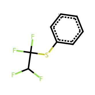 FC(F)C(F)(F)Sc1c[c]ccc1